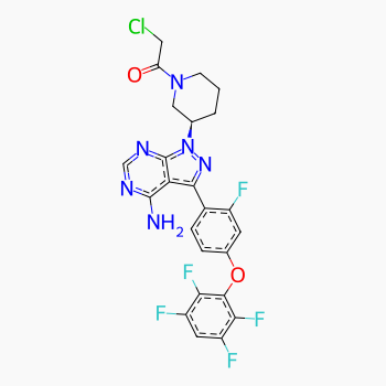 Nc1ncnc2c1c(-c1ccc(Oc3c(F)c(F)cc(F)c3F)cc1F)nn2[C@@H]1CCCN(C(=O)CCl)C1